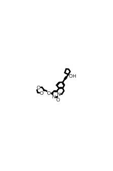 O=c1nc(OCC2COCCO2)cc2n1CCc1cc(C#CC3(O)CCCC3)ccc1-2